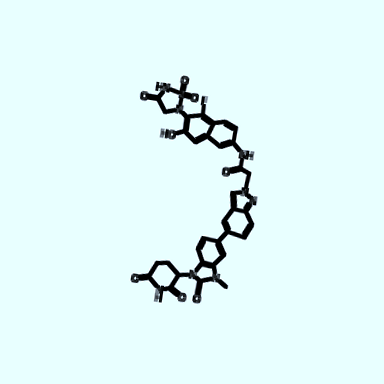 Cn1c(=O)n(C2CCC(=O)NC2=O)c2ccc(-c3ccc4nn(CC(=O)Nc5ccc6c(F)c(N7CC(=O)NS7(=O)=O)c(O)cc6c5)cc4c3)cc21